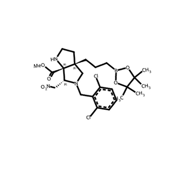 COC(=O)[C@@]12NCC[C@]1(CCCB1OC(C)(C)C(C)(C)O1)CN(Cc1c(Cl)cccc1Cl)[C@@H]2C[N+](=O)[O-]